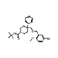 COc1ccc(Br)cc1COCC1(c2ccccc2)CCN(C(=O)OC(C)(C)C)CC1